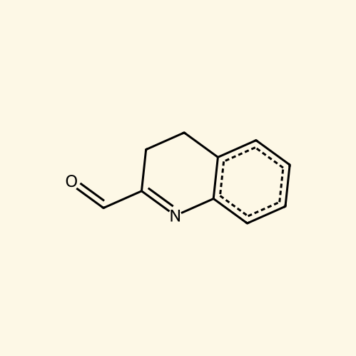 O=CC1=Nc2ccccc2CC1